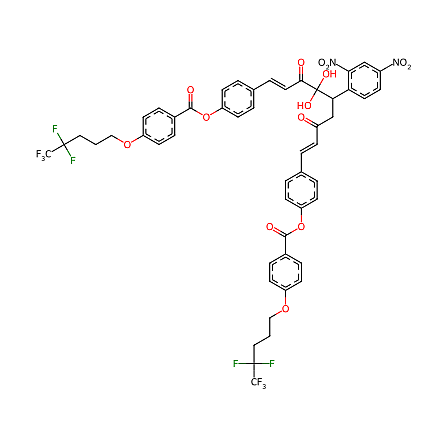 O=C(C=Cc1ccc(OC(=O)c2ccc(OCCCC(F)(F)C(F)(F)F)cc2)cc1)CC(c1ccc([N+](=O)[O-])cc1[N+](=O)[O-])C(O)(O)C(=O)C=Cc1ccc(OC(=O)c2ccc(OCCCC(F)(F)C(F)(F)F)cc2)cc1